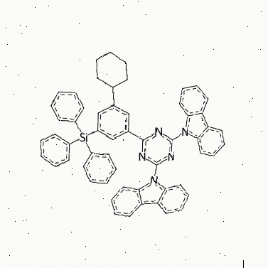 c1ccc([Si](c2ccccc2)(c2ccccc2)c2cc(-c3nc(-n4c5ccccc5c5ccccc54)nc(-n4c5ccccc5c5ccccc54)n3)cc(C3CCCCC3)c2)cc1